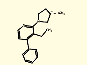 CCc1c(-c2ccccc2)ccnc1N1CC[C@H](C)C1